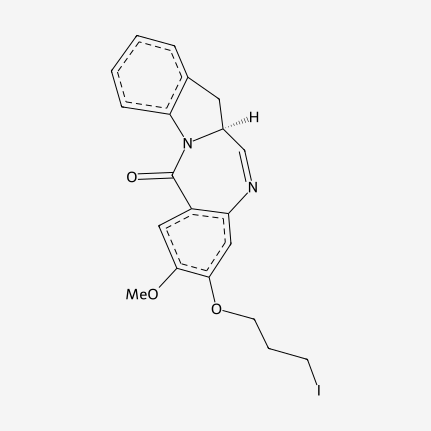 COc1cc2c(cc1OCCCI)N=C[C@@H]1Cc3ccccc3N1C2=O